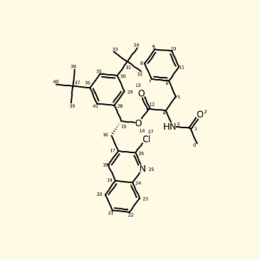 CC(=O)NC(Cc1ccccc1)C(=O)O[C@H](Cc1cc2ccccc2nc1Cl)c1cc(C(C)(C)C)cc(C(C)(C)C)c1